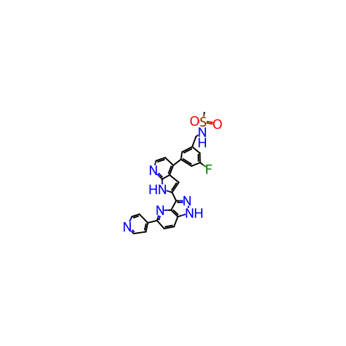 CS(=O)(=O)NCc1cc(F)cc(-c2ccnc3[nH]c(-c4n[nH]c5ccc(-c6ccncc6)nc45)cc23)c1